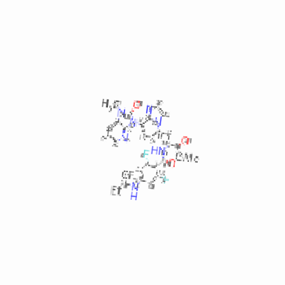 CC[C@@H](Nc1cc(F)c(C(=O)N[C@@H](Cc2ccc(-n3c(=O)n(C)c4cccnc43)c3nccn23)C(=O)OC)c(F)c1)C(F)(F)F